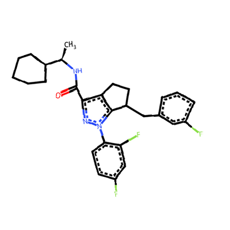 C[C@@H](NC(=O)c1nn(-c2ccc(F)cc2F)c2c1CCC2Cc1cccc(F)c1)C1CCCCC1